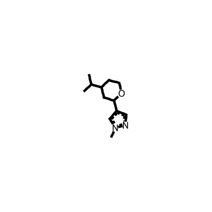 CC(C)C1CCOC(c2cnn(C)c2)C1